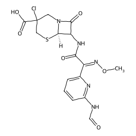 CON=C(C(=O)NC1C(=O)N2CC(Cl)(C(=O)O)CS[C@H]12)c1cccc(NC=O)n1